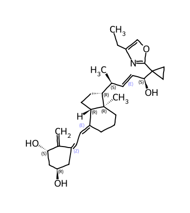 C=C1/C(=C\C=C2/CCC[C@]3(C)[C@@H]([C@@H](C)/C=C/[C@H](O)C4(c5nc(CC)co5)CC4)CC[C@@H]23)C[C@@H](O)C[C@@H]1O